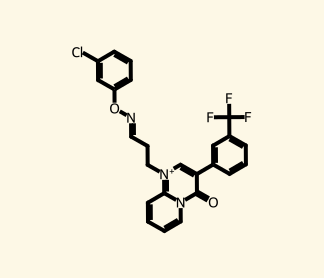 O=c1c(-c2cccc(C(F)(F)F)c2)c[n+](CCC=NOc2cccc(Cl)c2)c2ccccn12